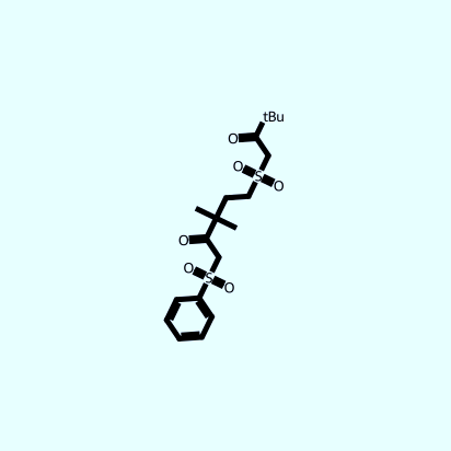 CC(C)(C)C(=O)CS(=O)(=O)CCC(C)(C)C(=O)CS(=O)(=O)c1ccccc1